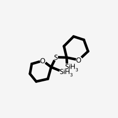 [SiH3]C1(SC2([SiH3])CCCCO2)CCCCO1